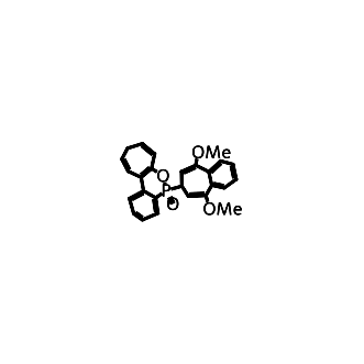 COC1=CC(P2(=O)OC3=C(C=CCC=C3)c3ccccc32)C=C(OC)c2ccccc21